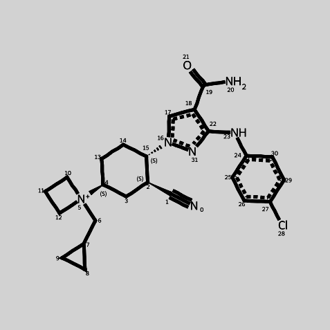 N#C[C@H]1C[C@@H]([N+]2(CC3CC3)CCC2)CC[C@@H]1n1cc(C(N)=O)c(Nc2ccc(Cl)cc2)n1